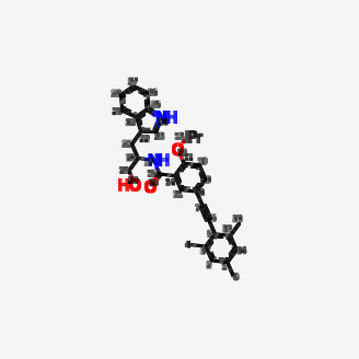 Cc1cc(C)c(C#Cc2ccc(OC(C)C)c(C(=O)NC(CO)Cc3c[nH]c4ccccc34)c2)c(C)c1